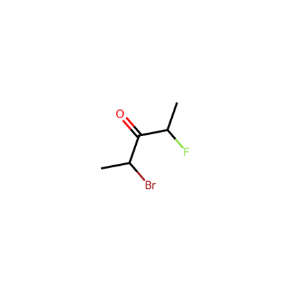 CC(F)C(=O)C(C)Br